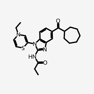 CCC(=O)Nc1nc2cc(C(=O)C3CCCCCC3)ccc2n1C1=CN(CC)C=CS1